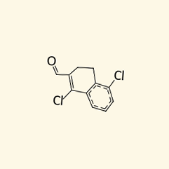 O=CC1=C(Cl)c2cccc(Cl)c2CC1